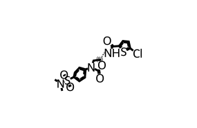 CN(C)S(=O)(=O)c1ccc(N2C[C@H](CNC(=O)c3ccc(Cl)s3)OC2=O)cc1